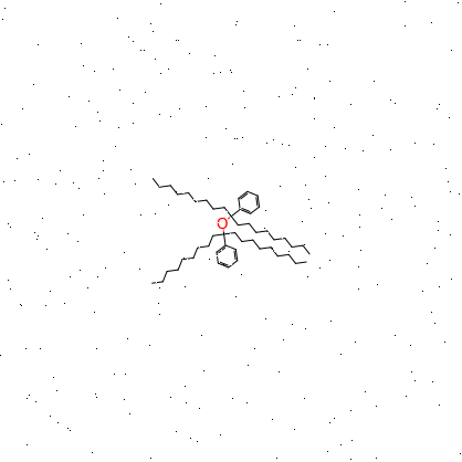 CCCCCCCCCC(CCCCCCCCC)(OC(CCCCCCCCC)(CCCCCCCCC)c1ccccc1)c1ccccc1